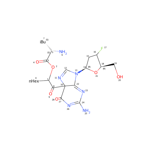 CCCCCCC(OC(=O)[C@@H](N)[C@@H](C)CC)C(=O)C12N=CN([C@H]3CC(F)[C@@H](CO)O3)C1=NC(N)=NC2=O